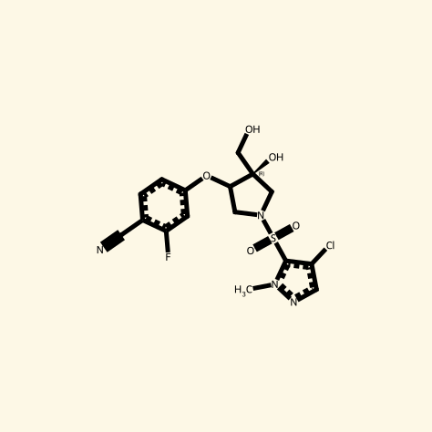 Cn1ncc(Cl)c1S(=O)(=O)N1CC(Oc2ccc(C#N)c(F)c2)[C@](O)(CO)C1